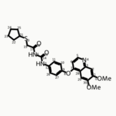 COc1cc2nccc(Oc3ccc(NC(=O)NC(=O)CSC4CCCC4)cc3)c2cc1OC